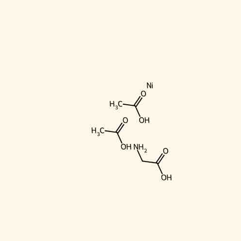 CC(=O)O.CC(=O)O.NCC(=O)O.[Ni]